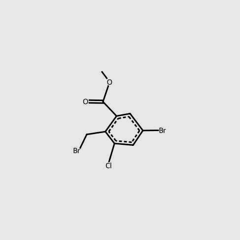 COC(=O)c1cc(Br)cc(Cl)c1CBr